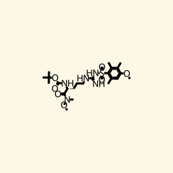 COc1cc(C)c(S(=O)(=O)NC(=N)NCCC[C@@H](NC(=O)OC(C)(C)C)C(=O)N(C)OC)c(C)c1C